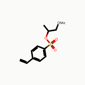 C=Cc1ccc(S(=O)(=O)OC(C)COC)cc1